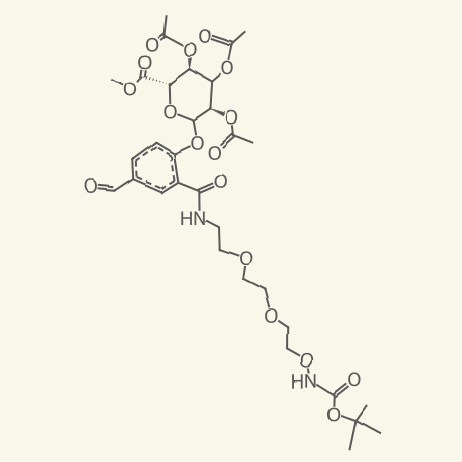 COC(=O)[C@H]1OC(Oc2ccc(C=O)cc2C(=O)NCCOCCOCCONC(=O)OC(C)(C)C)[C@H](OC(C)=O)C(OC(C)=O)[C@@H]1OC(C)=O